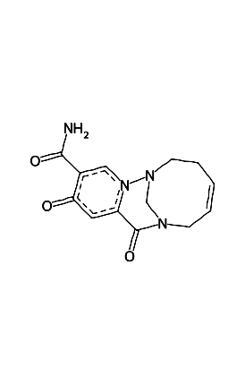 NC(=O)c1cn2c(cc1=O)C(=O)N1CC=CCCN2C1